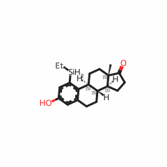 CC[SiH2]c1cc(O)cc2c1[C@H]1CC[C@]3(C)C(=O)CC[C@H]3[C@@H]1CC2